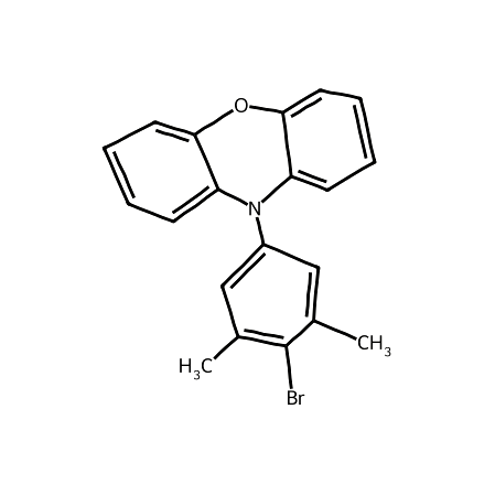 Cc1cc(N2c3ccccc3Oc3ccccc32)cc(C)c1Br